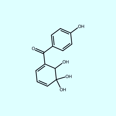 O=C(C1=CC=CC(O)(O)C1O)c1ccc(O)cc1